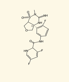 CN1C(=N)N[C@@]2(c3cc(NC(=O)C4NC=C(F)C=C4F)ccc3F)COCC2S1(=O)=O